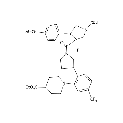 CCOC(=O)C1CCN(c2cc(C(F)(F)F)ccc2C2CCN(C(=O)[C@]3(F)CN(C(C)(C)C)C[C@H]3c3ccc(OC)cc3)C2)CC1